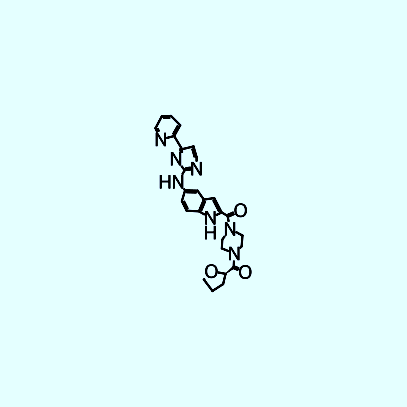 O=C(c1cc2cc(Nc3nccc(-c4ccccn4)n3)ccc2[nH]1)N1CCN(C(=O)[C@H]2CCCO2)CC1